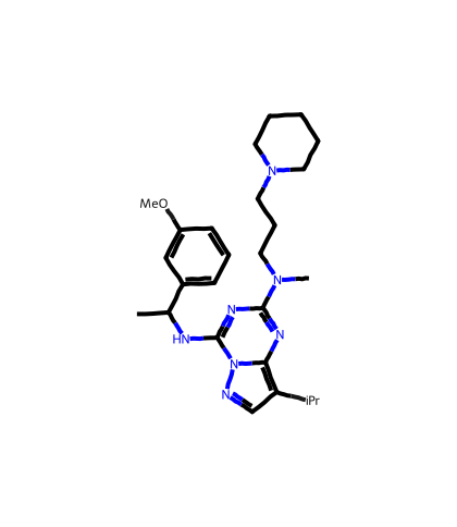 COc1cccc(C(C)Nc2nc(N(C)CCCN3CCCCC3)nc3c(C(C)C)cnn23)c1